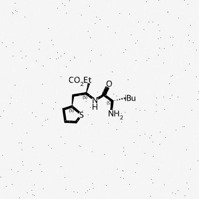 CCOC(=O)[C@H](C[C@@H]1CCCS1)NC(=O)[C@@H](N)C(C)CC